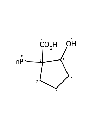 CCCC1(C(=O)O)CCCC1O